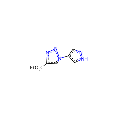 CCOC(=O)c1cn(-c2cn[nH]c2)nn1